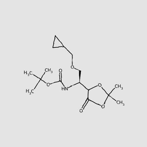 CC(C)(C)OC(=O)N[C@@H](COCC1CC1)C1OC(C)(C)OC1=O